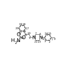 Cc1ccc(N2CCN(CCC(OC(N)=O)c3ccccc3)CC2)cc1